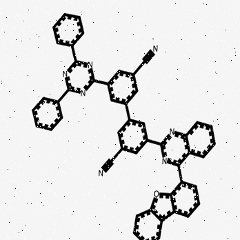 N#Cc1cc(-c2cc(C#N)cc(-c3nc(-c4cccc5c4oc4ccccc45)c4ccccc4n3)c2)cc(-c2nc(-c3ccccc3)nc(-c3ccccc3)n2)c1